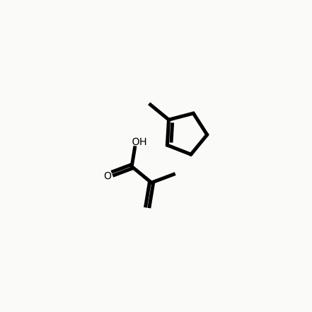 C=C(C)C(=O)O.CC1=CCCC1